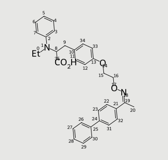 CCN(c1ccccc1)C(Cc1ccc(OCCON=C(C)c2ccc(-c3ccccc3)cc2)cc1)C(=O)O